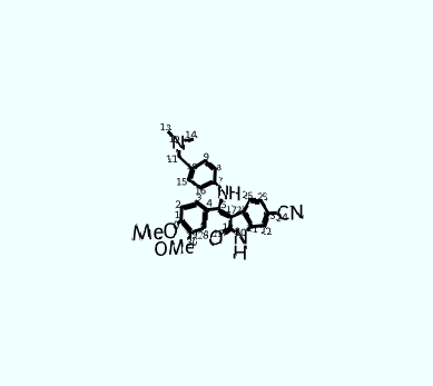 COc1ccc(C(Nc2ccc(CN(C)C)cc2)=C2C(=O)Nc3cc(C#N)ccc32)cc1OC